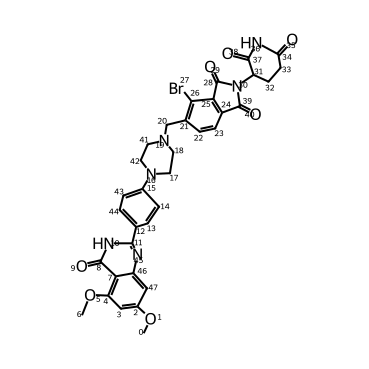 COc1cc(OC)c2c(=O)[nH]c(-c3ccc(N4CCN(Cc5ccc6c(c5Br)C(=O)N(C5CCC(=O)NC5=O)C6=O)CC4)cc3)nc2c1